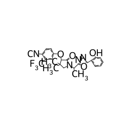 [C-]#[N+]c1ccc(OC2C(=O)N(C(C)c3nnc(-c4ccccc4O)o3)CC2(C)C)cc1C(F)(F)F